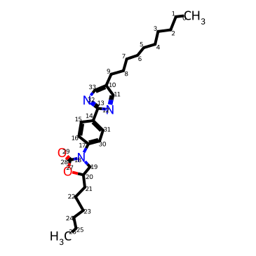 CCCCCCCCCCc1cnc(-c2ccc(N3CC(CCCCCC)OC3=O)cc2)nc1